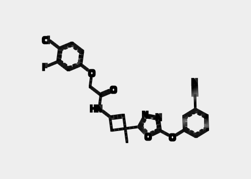 CC1(c2nnc(Oc3cccc(C#N)c3)o2)C=C(NC(=O)COc2ccc(Cl)c(F)c2)C1